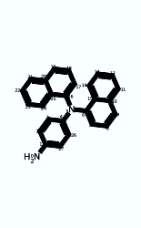 Nc1ccc(N(c2cccc3ccccc23)c2cccc3ccccc23)cc1